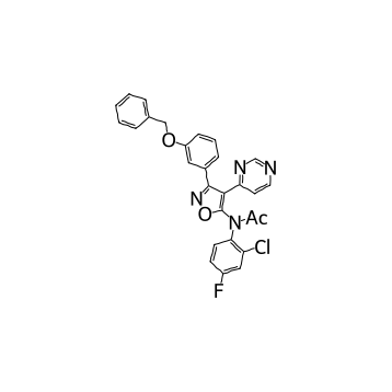 CC(=O)N(c1ccc(F)cc1Cl)c1onc(-c2cccc(OCc3ccccc3)c2)c1-c1ccncn1